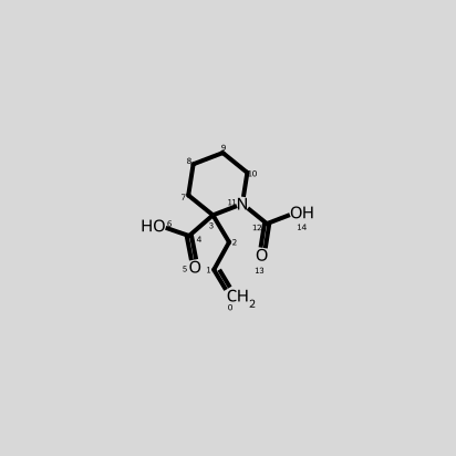 C=CCC1(C(=O)O)CCCCN1C(=O)O